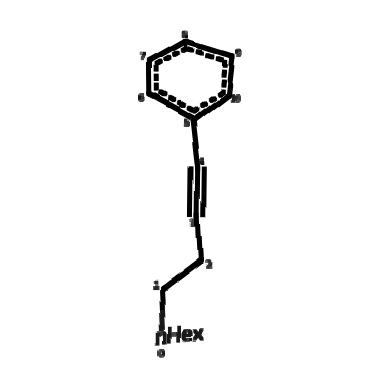 CCCCCCCCC#Cc1cc[c]cc1